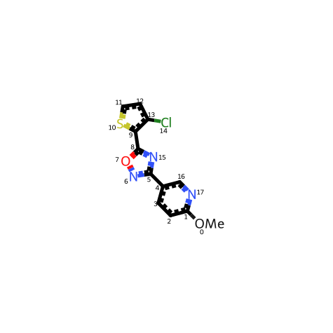 COc1ccc(-c2noc(-c3sccc3Cl)n2)cn1